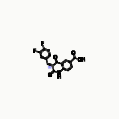 O=C1Nc2ccc(C(=O)O)cc2C(=O)/C1=C\c1ccc(F)c(F)c1